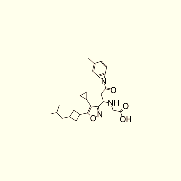 Cc1ccc2c(c1)N2C(=O)CC(NCC(=O)O)c1noc(C2CC(CC(C)C)C2)c1C1CC1